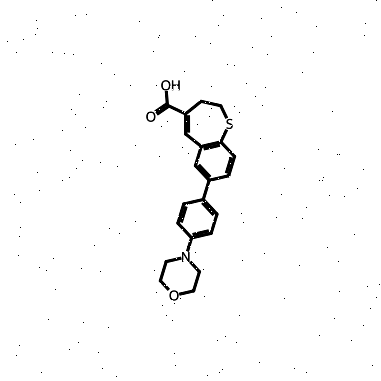 O=C(O)C1=Cc2cc(-c3ccc(N4CCOCC4)cc3)ccc2SCC1